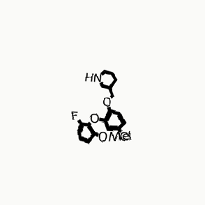 COc1cccc(F)c1Oc1cc(Cl)ccc1OCC1CCCNC1